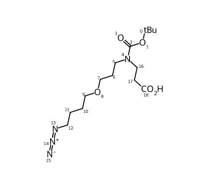 CC(C)(C)OC(=O)N(CCCOCCCCN=[N+]=[N-])CCC(=O)O